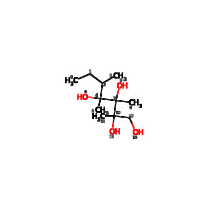 CCC(C)C(C)(O)C(C)(O)C(C)(O)CO